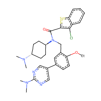 CCOc1ccc(-c2cnc(N(C)C)nc2)cc1CN(C(=O)c1sc2ccccc2c1Cl)[C@H]1CC[C@H](N(C)C)CC1